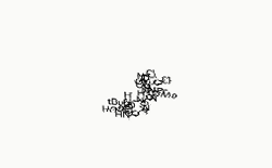 COc1ncc(C(=O)NCCC(=O)N[C@H](C(=O)N2C[C@H](O)C[C@H]2C(=O)N[C@@H](C)c2ccc(-c3scnc3C)cc2)C(C)(C)C)cc1-c1nc2c(n1C(C)C)[C@H](c1ccc(Cl)cc1)N(c1cc(Cl)cn(C)c1=O)C2=O